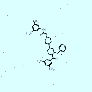 Cc1cc(C)cc(NC(=O)CN2CCN(C3CCN(C(=O)c4cc(C(F)(F)F)cc(C(F)(F)F)c4)C(Cc4ccccc4)C3)CC2)c1